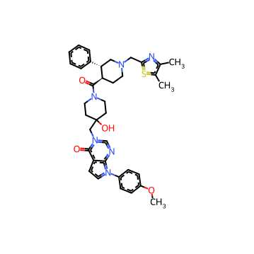 COc1ccc(-n2ccc3c(=O)n(CC4(O)CCN(C(=O)[C@@H]5CCN(Cc6nc(C)c(C)s6)C[C@H]5c5ccccc5)CC4)cnc32)cc1